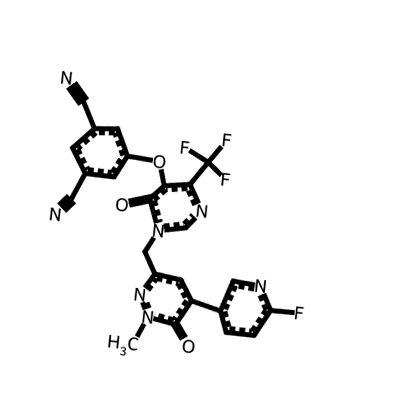 Cn1nc(Cn2cnc(C(F)(F)F)c(Oc3cc(C#N)cc(C#N)c3)c2=O)cc(-c2ccc(F)nc2)c1=O